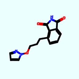 O=C1NC(=O)c2c(CCCOn3cccn3)cccc21